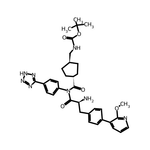 COc1ncccc1-c1ccc(C[C@H](N)C(=O)N(c2ccc(-c3nn[nH]n3)cc2)C(=O)[C@H]2CC[C@H](CNC(=O)OC(C)(C)C)CC2)cc1